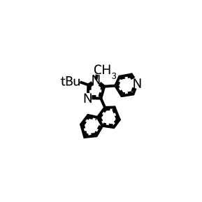 Cn1c(C(C)(C)C)nc(-c2cccc3ccccc23)c1-c1ccncc1